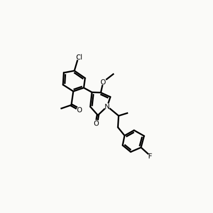 COc1cn(C(C)Cc2ccc(F)cc2)c(=O)cc1-c1cc(Cl)ccc1C(C)=O